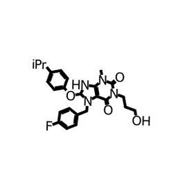 CC(C)c1ccc(OC2Nc3c(c(=O)n(CCCO)c(=O)n3C)N2Cc2ccc(F)cc2)cc1